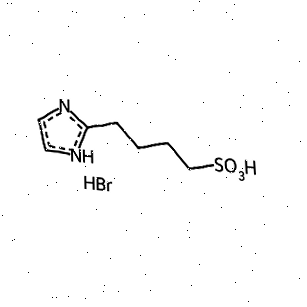 Br.O=S(=O)(O)CCCCc1ncc[nH]1